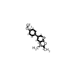 C=C1Oc2ncc(-c3ccc(OC(F)(F)F)cc3)cc2N1C